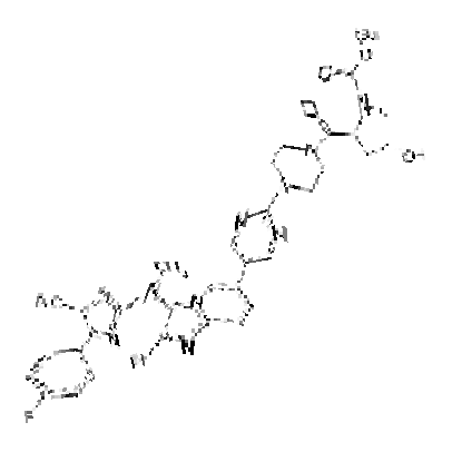 CCc1nc2ccc(-c3cnc(N4CCN(C(=O)[C@@H]5C[C@@H](O)CN5C(=O)OC(C)(C)C)CC4)nc3)cn2c1N(C)c1nc(-c2ccc(F)cc2)c(C#N)s1